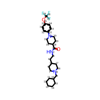 O=C(NCCC1CCN(CC2CCCCC2)CC1)C1CCN(c2ccc(OC(F)(F)F)cc2)CC1